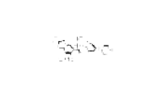 COc1cc2nc(C)cn2cc1C(=O)Nc1ccc(N2CCNCC2)cn1.Cl